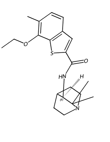 CCOc1c(C)ccc2cc(C(=O)N[C@@H]3C4CCN(CC4)C3(C)C)sc12